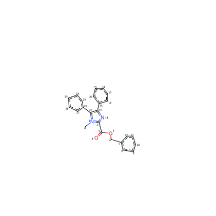 Cn1c(C(=O)OCc2ccccc2)nc(-c2ccccc2)c1-c1ccccc1